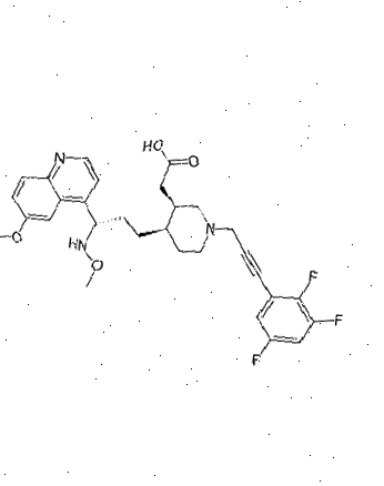 CON[C@@H](CC[C@@H]1CCN(CC#Cc2cc(F)cc(F)c2F)C[C@@H]1CC(=O)O)c1ccnc2ccc(OC)cc12